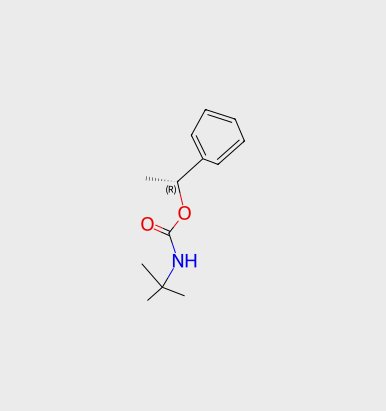 C[C@@H](OC(=O)NC(C)(C)C)c1ccccc1